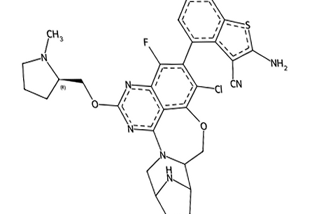 CN1CCC[C@@H]1COc1nc2c3c(c(Cl)c(-c4cccc5sc(N)c(C#N)c45)c(F)c3n1)OCC1C3CCC(CN21)N3